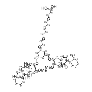 CCC1CCCC[C@@H]1N1C=NC2CC(OCC3=C[C@@H](OCCOCCOCCOCCC(O)O)C[C@@H](COC4=C(OC)C[C@@H]5C(=O)N6[C@H](CN[C@@H]5C4)C[C@H]4CCCC[C@H]46)C3)=C(OC)C[C@H]2C1=O